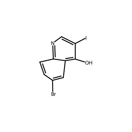 Oc1c(I)cnc2ccc(Br)cc12